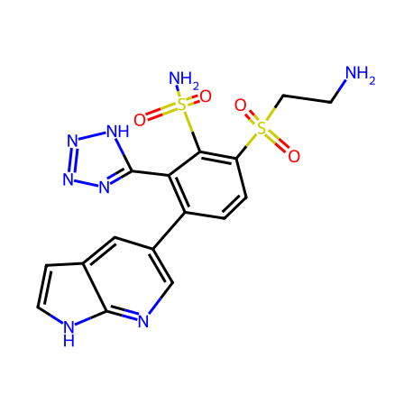 NCCS(=O)(=O)c1ccc(-c2cnc3[nH]ccc3c2)c(-c2nnn[nH]2)c1S(N)(=O)=O